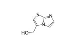 OCc1csc2nccn12